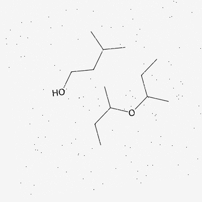 CC(C)CCO.CCC(C)OC(C)CC